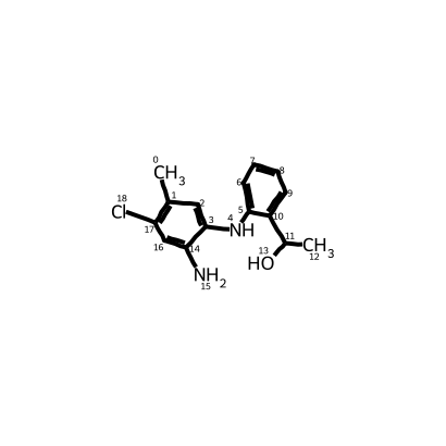 Cc1cc(Nc2ccccc2C(C)O)c(N)cc1Cl